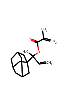 C=CC(C)(OC(=O)C(=C)C)C12CC3CC(CC(C3)C1)C2